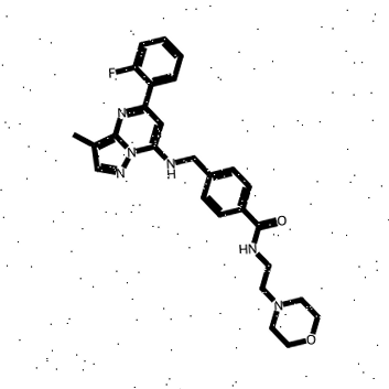 Cc1cnn2c(NCc3ccc(C(=O)NCCN4CCOCC4)cc3)cc(-c3ccccc3F)nc12